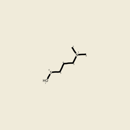 CN(C)CCCSO